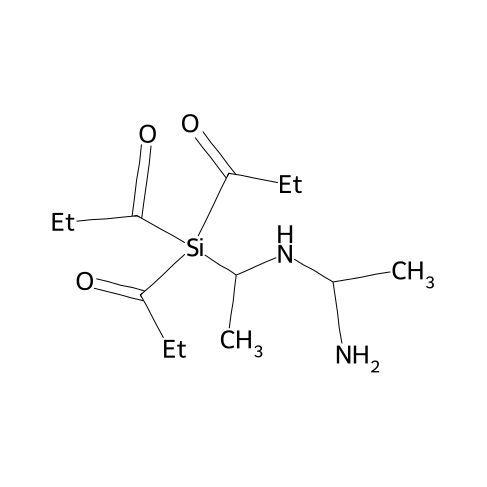 CCC(=O)[Si](C(=O)CC)(C(=O)CC)C(C)NC(C)N